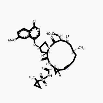 CC[C@@H]1C[C@H](C)CC/C=C\[C@@H]2C[C@@]2(C(=O)NS(=O)(=O)C2(C)CC2)NC(=O)[C@@H]2C[C@@H](Oc3cnc(Cl)c4ccc(OC)cc34)CN2C(=O)[C@H]1NC(=O)O